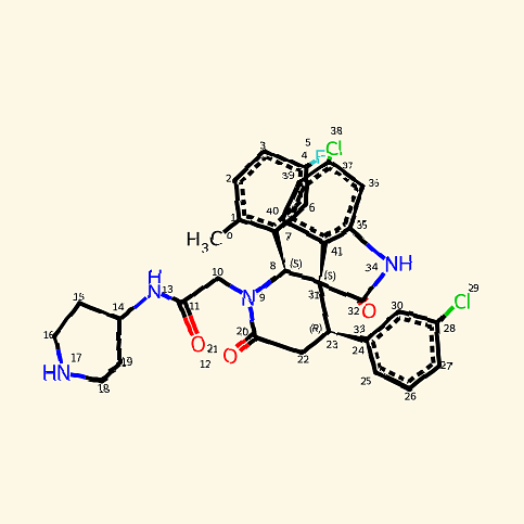 Cc1ccc(F)cc1[C@@H]1N(CC(=O)NC2CCNCC2)C(=O)C[C@H](c2cccc(Cl)c2)[C@@]12C(=O)Nc1cc(Cl)ccc12